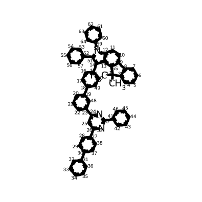 CC1(C)c2ccccc2-c2ccc3c(c(-c4ccc(-c5cccc(-c6cc(-c7ccc(-c8ccccc8)cc7)nc(-c7ccccc7)n6)c5)cc4)c(-c4ccccc4)n3-c3ccccc3)c21